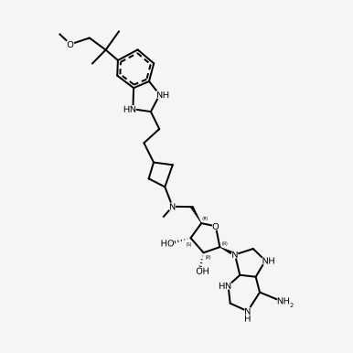 COCC(C)(C)c1ccc2c(c1)NC(CCC1CC(N(C)C[C@H]3O[C@@H](N4CNC5C(N)NCNC54)[C@H](O)[C@@H]3O)C1)N2